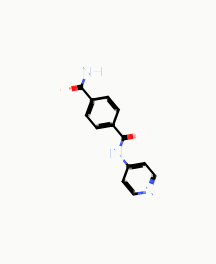 NC(=O)c1ccc(C(=O)Nc2ccncc2)cc1